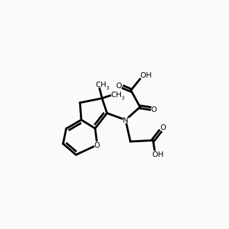 CC1(C)CC2=CC=COC2=C1N(CC(=O)O)C(=O)C(=O)O